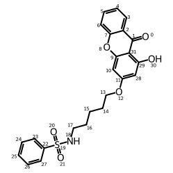 O=c1c2ccccc2oc2cc(OCCCCCNS(=O)(=O)c3ccccc3)cc(O)c12